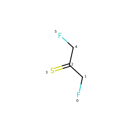 FCC(=S)CF